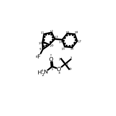 CC(C)(C)OC(N)=O.Fc1c2ccc(-c3ccccc3)c1-2